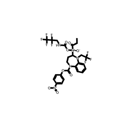 CCC(=O)[N@@+]([O-])(OC(=O)NCC(F)(F)C(F)(F)F)C1CCN(C(=O)Oc2ccc([N+](=O)[O-])cc2)c2ccccc2N1CC(F)(F)F